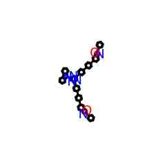 c1ccc(-c2nc3ccc(-c4ccc(-c5ccc(-c6nc(-c7ccc(-c8ccc(-c9ccc%10nc(-c%11ccccc%11)oc%10c9)cc8)cc7)nc(-n7c8ccccc8c8ccccc87)n6)cc5)cc4)cc3o2)cc1